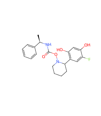 C[C@@H](NC(=O)ON1CCCCC1c1cc(F)c(O)cc1O)c1ccccc1